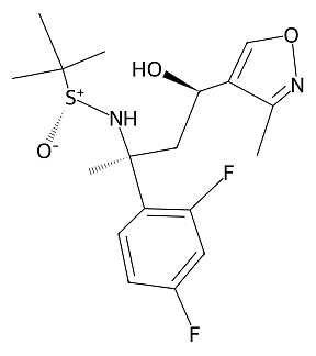 Cc1nocc1[C@H](O)C[C@](C)(N[S@+]([O-])C(C)(C)C)c1ccc(F)cc1F